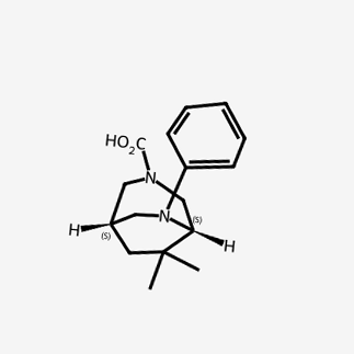 CC1(C)C[C@@H]2CN(C(=O)O)C[C@H]1N(c1ccccc1)C2